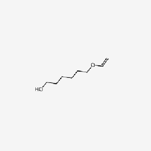 C=COCCCCCCO